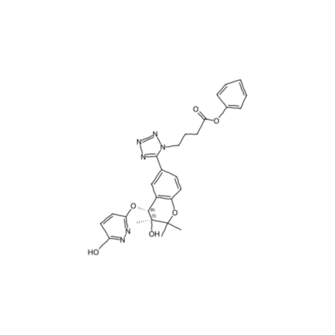 CC1(C)Oc2ccc(-c3nnnn3CCCC(=O)Oc3ccccc3)cc2[C@@H](Oc2ccc(O)nn2)[C@]1(C)O